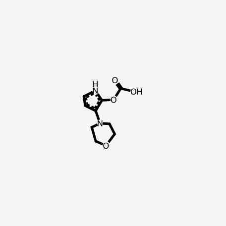 O=C(O)Oc1[nH]ccc1N1CCOCC1